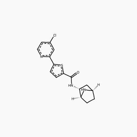 O=C(N[C@@H]1C[C@H]2CC[C@@H]1N2)c1ccc(-c2cc(Cl)ccn2)s1